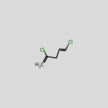 C=C(Cl)CC=CCl